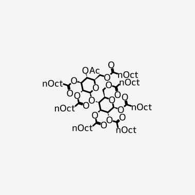 CCCCCCCCC(=O)OC[C@H]1O[C@@H](O[C@H]2[C@H](OC(=O)CCCCCCCC)[C@@H](OC(=O)CCCCCCCC)[C@H](OC(=O)CCCCCCCC)O[C@@H]2COC(=O)CCCCCCCC)[C@H](OC(=O)CCCCCCCC)[C@@H](OC(=O)CCCCCCCC)[C@@H]1OC(C)=O